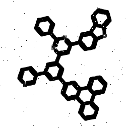 c1ccc(-c2nc(-c3cc(-c4cccnc4)cc(-c4ccc5c6ccccc6c6ccccc6c5c4)c3)cc(-c3ccc4oc5ccccc5c4c3)n2)cc1